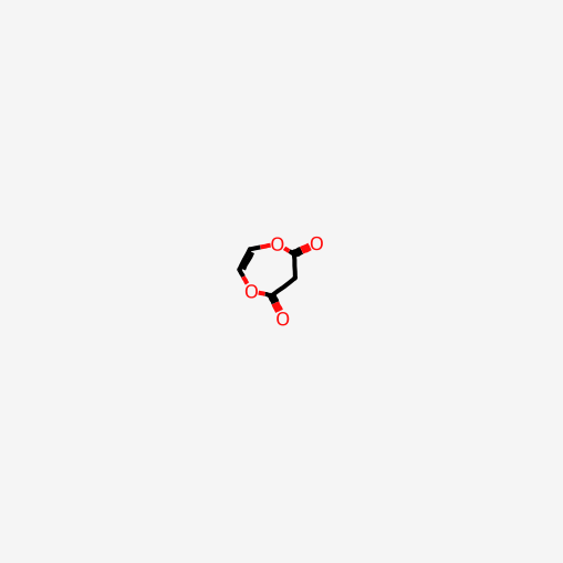 O=C1CC(=O)OC=CO1